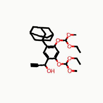 C#CC(O)c1cc(C23CC4CC(CC(C4)C2)C3)c(OC(OC)OCC)cc1OC(OC)OCC